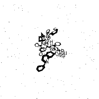 COc1ccc2c(O[C@@H]3C[C@@H](C(=O)NC4(C(=O)NS(=O)(=O)c5cccs5)CCC45CC5)N(C(=O)[C@@H](NC(=O)OC(C)(C)C)C(C)(C)C)C3)cc(-c3ccccc3)nc2c1